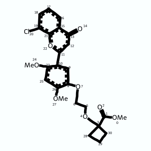 COC(=O)C1(OCCOc2cc(-c3cc(=O)c4cccc(Cl)c4o3)c(OC)cc2OC)CCC1